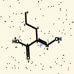 CCC/C(=N\O)C(=O)O